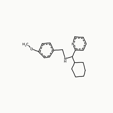 COc1ccc(CNC(c2ccccn2)C2CCCCC2)cc1